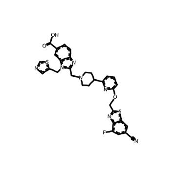 N#Cc1cc(F)c2nc(COc3cccc(C4CCN(Cc5nc6ccc(C(=O)O)cc6n5Cc5cncs5)CC4)n3)sc2c1